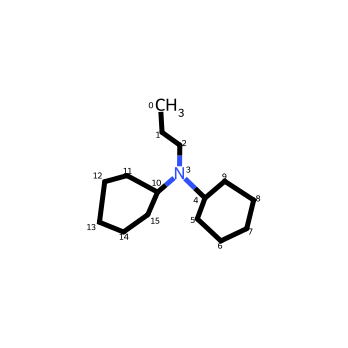 CCCN(C1CCCCC1)C1CCCCC1